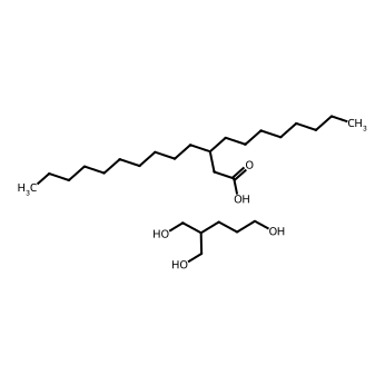 CCCCCCCCCCC(CCCCCCCC)CC(=O)O.OCCCC(CO)CO